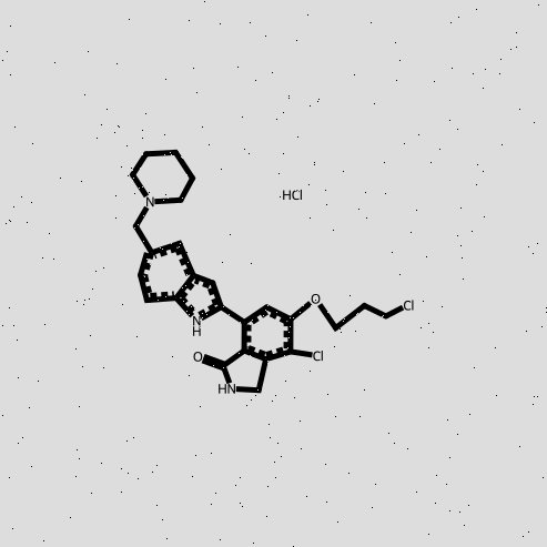 Cl.O=C1NCc2c(Cl)c(OCCCCl)cc(-c3cc4cc(CN5CCCCC5)ccc4[nH]3)c21